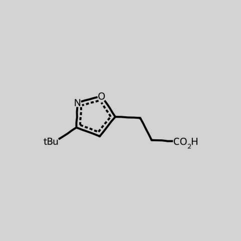 CC(C)(C)c1cc(CCC(=O)O)on1